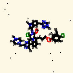 Cc1cc(OCCCc2c3n(c4c(-c5c(C)nc(CN6CCN(C)CC6)nc5C)cccc24)C(C)[C@@H](Cl)N(c2cn(C)c4ccc(-c5ncn(C)n5)cc24)C3=O)cc(C)c1Cl